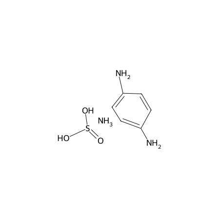 N.Nc1ccc(N)cc1.O=S(O)O